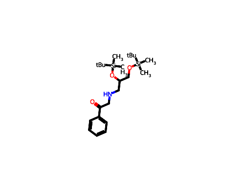 CC(C)(C)[Si](C)(C)OCC(CNCC(=O)c1ccccc1)O[Si](C)(C)C(C)(C)C